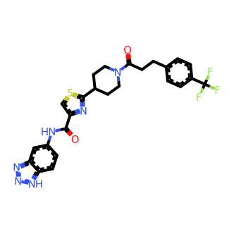 O=C(Nc1ccc2[nH]nnc2c1)c1csc(C2CCN(C(=O)CCc3ccc(C(F)(F)F)cc3)CC2)n1